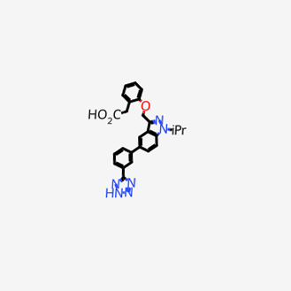 CC(C)n1nc(COc2ccccc2CC(=O)O)c2cc(-c3cccc(-c4nn[nH]n4)c3)ccc21